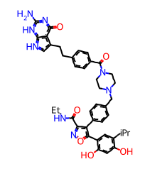 CCNC(=O)c1noc(-c2cc(C(C)C)c(O)cc2O)c1-c1ccc(CN2CCN(C(=O)c3ccc(CCc4c[nH]c5[nH]c(N)nc(=O)c45)cc3)CC2)cc1